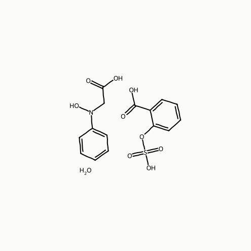 O.O=C(O)CN(O)c1ccccc1.O=C(O)c1ccccc1OS(=O)(=O)O